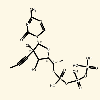 CC#C[C@@]1(Cl)C(O)[C@@H]([C@H](C)OP(=O)(O)OP(=O)(O)OP(=O)(O)O)O[C@H]1n1cnc(N)nc1=O